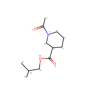 CC(=O)N1CCCC(C(=O)OCC(C)C)C1